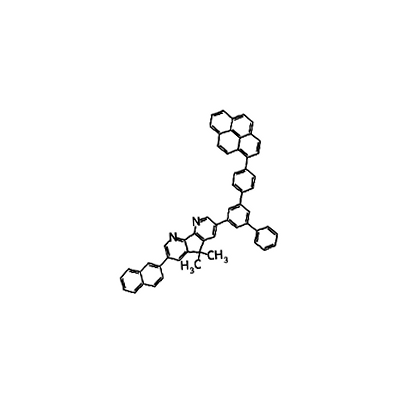 CC1(C)c2cc(-c3cc(-c4ccccc4)cc(-c4ccc(-c5ccc6ccc7cccc8ccc5c6c78)cc4)c3)cnc2-c2ncc(-c3ccc4ccccc4c3)cc21